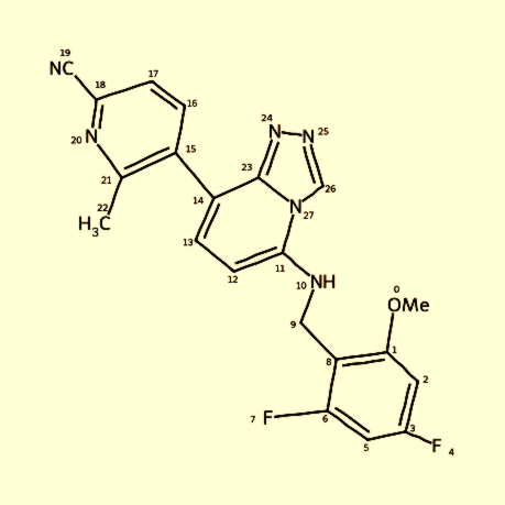 COc1cc(F)cc(F)c1CNc1ccc(-c2ccc(C#N)nc2C)c2nncn12